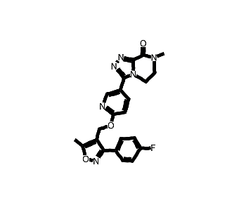 Cc1onc(-c2ccc(F)cc2)c1COc1ccc(-c2nnc3n2CCN(C)C3=O)cn1